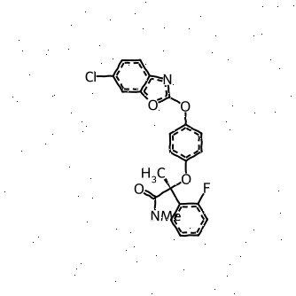 CNC(=O)[C@](C)(Oc1ccc(Oc2nc3ccc(Cl)cc3o2)cc1)c1ccccc1F